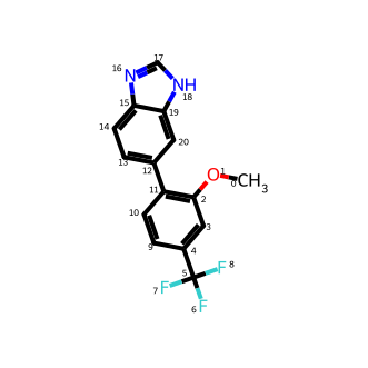 COc1cc(C(F)(F)F)ccc1-c1ccc2nc[nH]c2c1